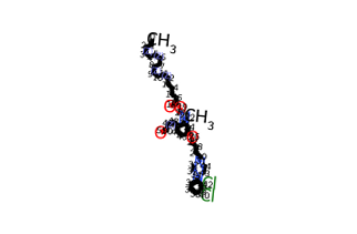 CC/C=C\C/C=C\C/C=C\C/C=C\CCCCC(=O)OCN(C)c1cc(OCCCCN2CCN(c3cccc(Cl)c3Cl)CC2)ccc1/C=C\C=O